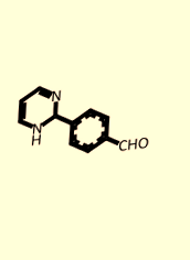 O=Cc1ccc(C2N=CC=CN2)cc1